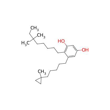 CCC(C)(C)CCCCCc1c(O)cc(O)cc1CCCCCC1(C)CC1